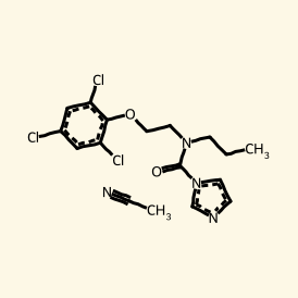 CC#N.CCCN(CCOc1c(Cl)cc(Cl)cc1Cl)C(=O)n1ccnc1